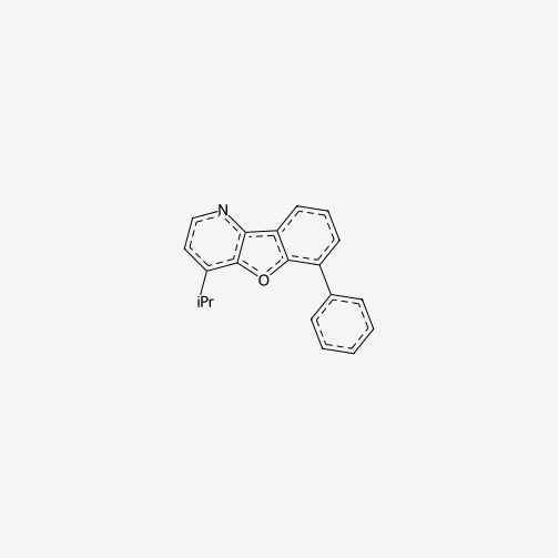 CC(C)c1ccnc2c1oc1c(-c3ccccc3)cccc12